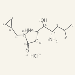 CC(C)C[C@H](N)C(O)C1NN(CC2CC2)C(=O)O1.Cl